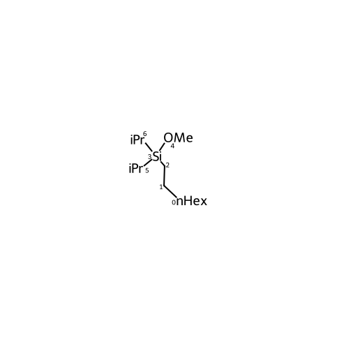 CCCCCCCC[Si](OC)(C(C)C)C(C)C